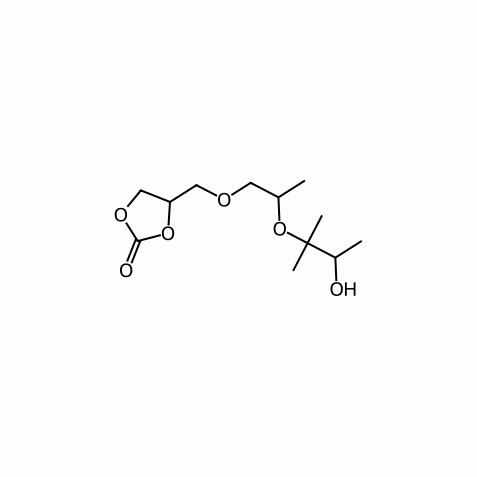 CC(COCC1COC(=O)O1)OC(C)(C)C(C)O